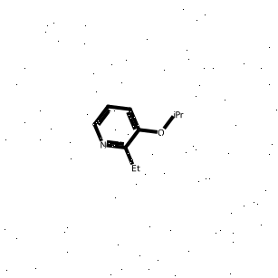 CCc1ncccc1OC(C)C